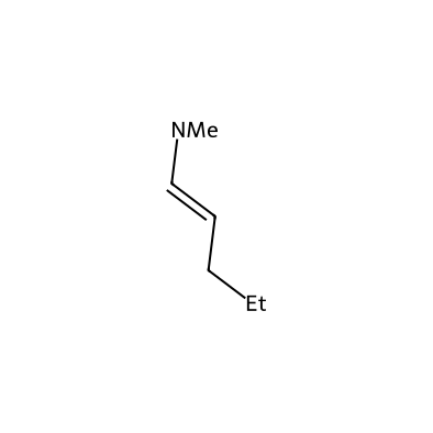 [CH2]CCC=CNC